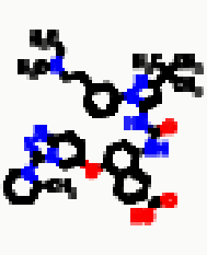 CCN(C)CCc1cccc(-n2nc(C(C)(C)C)cc2NC(=O)N[C@H]2CC[C@@H](Oc3ccc4nnc(N5CCCC[C@@H]5C)n4c3)c3ccccc32)c1.O=CO